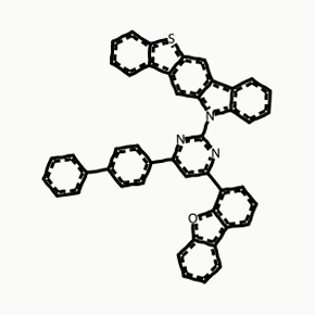 c1ccc(-c2ccc(-c3cc(-c4cccc5c4oc4ccccc45)nc(-n4c5ccccc5c5cc6sc7ccccc7c6cc54)n3)cc2)cc1